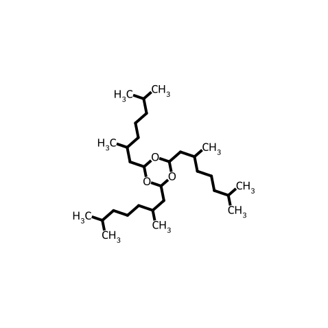 CC(C)CCCC(C)CC1OC(CC(C)CCCC(C)C)OC(CC(C)CCCC(C)C)O1